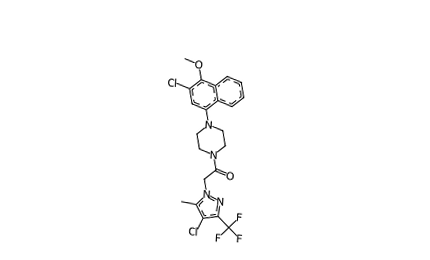 COc1c(Cl)cc(N2CCN(C(=O)Cn3nc(C(F)(F)F)c(Cl)c3C)CC2)c2ccccc12